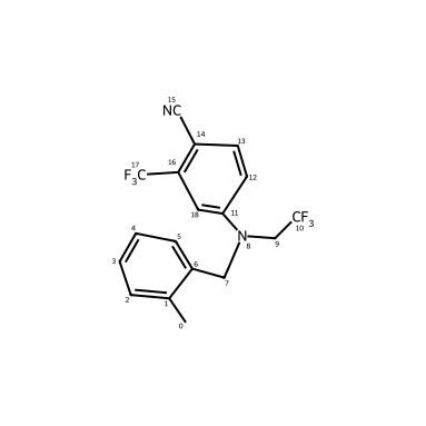 Cc1ccccc1CN(CC(F)(F)F)c1ccc(C#N)c(C(F)(F)F)c1